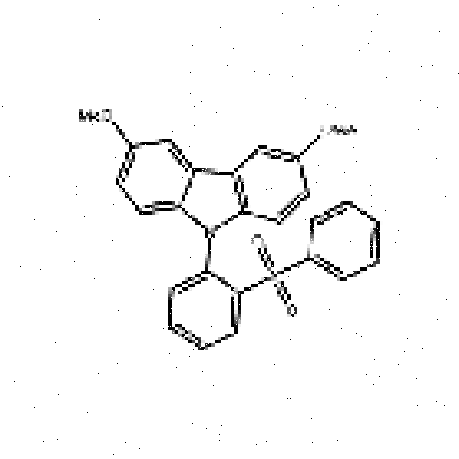 COc1ccc2c(c1)c1cc(OC)ccc1n2-c1ccccc1S(=O)(=O)c1ccccc1